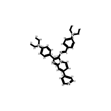 CCN(CC)c1ccc(C=Nc2c(-c3ccc(N(CC)CC)cc3)nc3cc(-c4ccncc4)ccn23)cc1